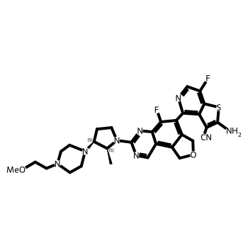 COCCN1CCN([C@H]2CCN(c3ncc4c5c(c(-c6ncc(F)c7sc(N)c(C#N)c67)c(F)c4n3)COC5)[C@H]2C)CC1